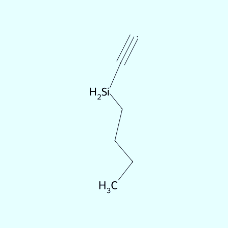 [C]#C[SiH2]CCCC